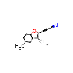 Cc1ccc2oc(C#CC#N)c(C)c2c1